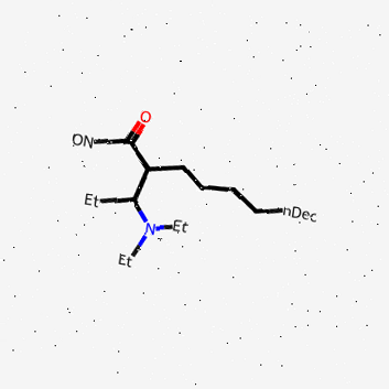 CCCCCCCCCCCCCCC(C(=O)N=O)C(CC)N(CC)CC